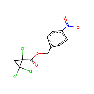 O=C(OCc1ccc([N+](=O)[O-])cc1)C1(Cl)CC1(Cl)Cl